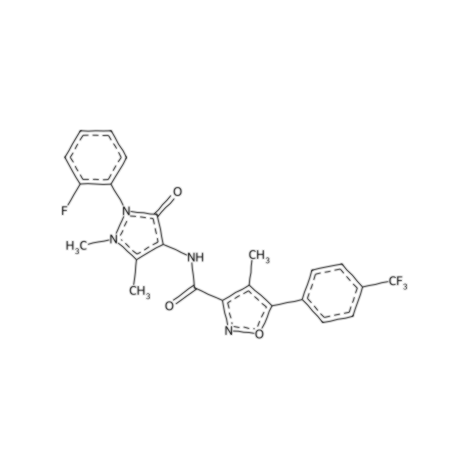 Cc1c(C(=O)Nc2c(C)n(C)n(-c3ccccc3F)c2=O)noc1-c1ccc(C(F)(F)F)cc1